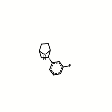 Fc1cccc([C@H]2CC3CCC2N3)c1